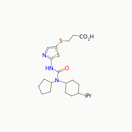 CC(C)C1CCC(N(C(=O)Nc2ncc(SCCC(=O)O)s2)C2CCCC2)CC1